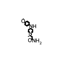 COc1ccc(NC2CCN([C@H](C)CC(N)=O)CC2)cc1